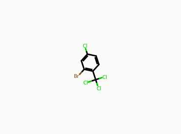 Clc1ccc(C(Cl)(Cl)Cl)c(Br)c1